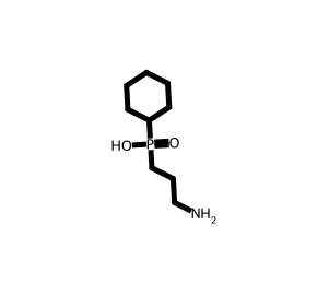 NCCCP(=O)(O)C1CCCCC1